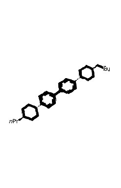 CCC[C@H]1CC[C@H](c2ccc(-c3ccc([C@H]4CC[C@H](CC(C)CC)CC4)cc3)cc2)CC1